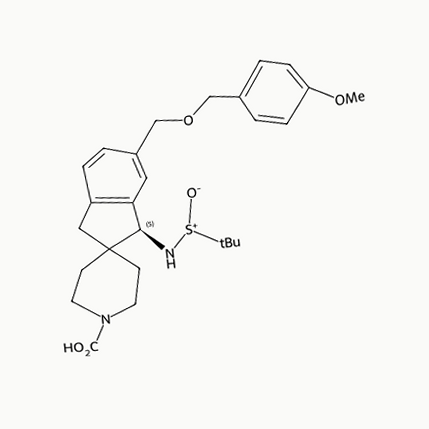 COc1ccc(COCc2ccc3c(c2)[C@@H](N[S+]([O-])C(C)(C)C)C2(CCN(C(=O)O)CC2)C3)cc1